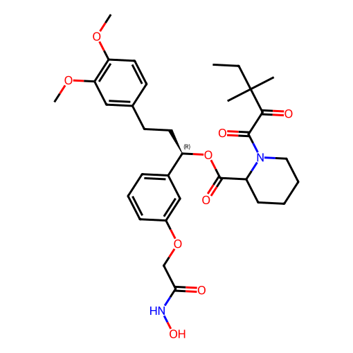 CCC(C)(C)C(=O)C(=O)N1CCCCC1C(=O)O[C@H](CCc1ccc(OC)c(OC)c1)c1cccc(OCC(=O)NO)c1